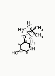 CC(C)(C)[Si](C)(C)OC1CNC[C@H](O)C1